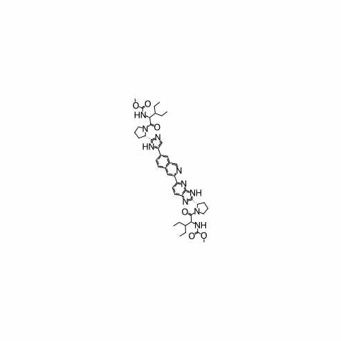 CCC(CC)[C@H](NC(=O)OC)C(=O)N1CCC[C@H]1c1ncc(-c2ccc3cc(-c4ccc5nc([C@@H]6CCCN6C(=O)[C@@H](NC(=O)OC)C(CC)CC)[nH]c5n4)ncc3c2)[nH]1